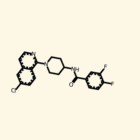 O=C(NC1CCN(c2nccc3cc(Cl)ccc23)CC1)c1ccc(F)c(F)c1